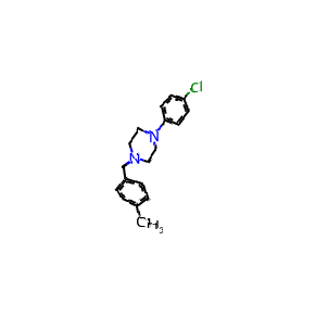 Cc1ccc(CN2CCN(c3ccc(Cl)cc3)CC2)cc1